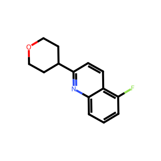 Fc1cccc2nc(C3CCOCC3)ccc12